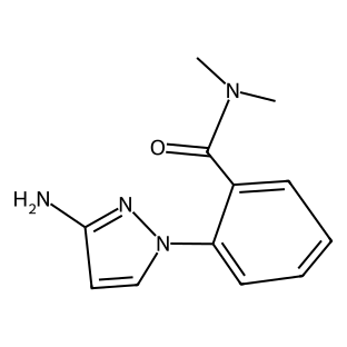 CN(C)C(=O)c1ccccc1-n1ccc(N)n1